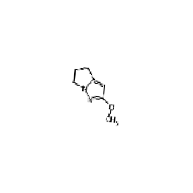 COc1cc2n(n1)CCC2